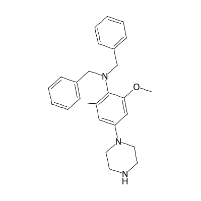 COc1cc(N2CCNCC2)cc(C)c1N(Cc1ccccc1)Cc1ccccc1